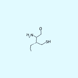 CCC(CS)C(N)C=O